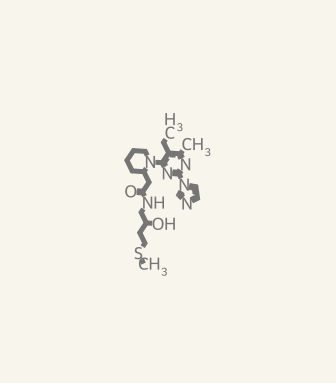 CCc1c(C)nc(-n2ccnc2)nc1N1CCCCC1CC(=O)NCC(O)CCSC